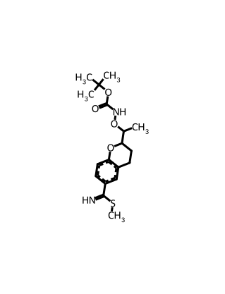 CSC(=N)c1ccc2c(c1)CCC(C(C)ONC(=O)OC(C)(C)C)O2